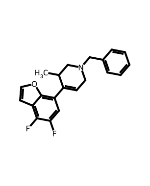 CC1CN(Cc2ccccc2)CC=C1c1cc(F)c(F)c2ccoc12